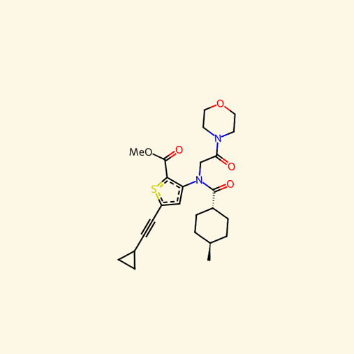 COC(=O)c1sc(C#CC2CC2)cc1N(CC(=O)N1CCOCC1)C(=O)[C@H]1CC[C@H](C)CC1